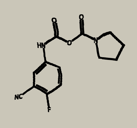 N#Cc1cc(NC(=O)OC(=O)N2CCCC2)ccc1F